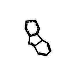 [C]1=[C]C2=Nc3ccccc3C2C=C1